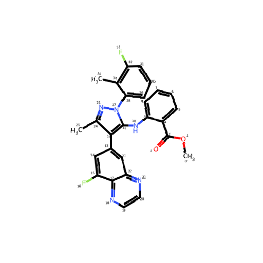 COC(=O)c1ccccc1Nc1c(-c2cc(F)c3nccnc3c2)c(C)nn1-c1cccc(F)c1C